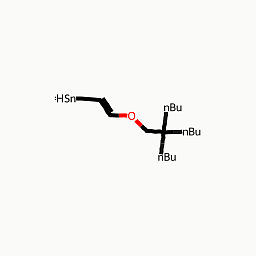 CCCCC(CCCC)(CCCC)COC=[CH][SnH]